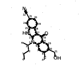 CCCC(C)n1c2cc(F)c(CO)cc2c(=O)c2c3ccc(C#N)cc3[nH]c21